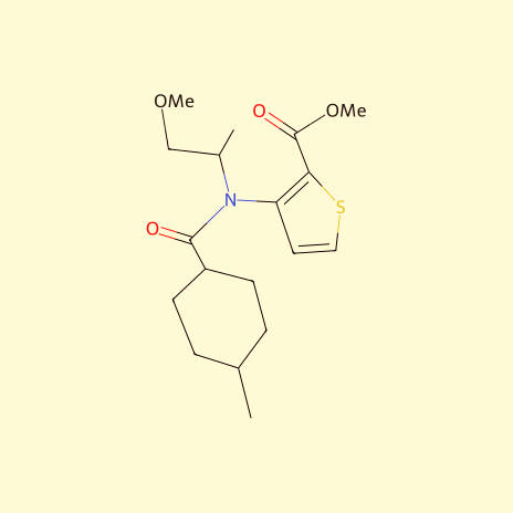 COCC(C)N(C(=O)C1CCC(C)CC1)c1ccsc1C(=O)OC